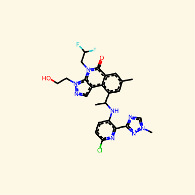 Cc1cc(C(C)Nc2ccc(Cl)nc2-c2ncn(C)n2)c2c(c1)c(=O)n(CC(F)F)c1c2cnn1CCO